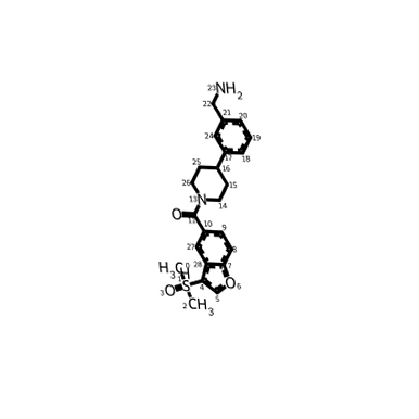 C[SH](C)(=O)c1coc2ccc(C(=O)N3CCC(c4cccc(CN)c4)CC3)cc12